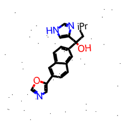 CC(C)CC(O)(c1ccc2cc(-c3cnco3)ccc2c1)c1c[nH]cn1